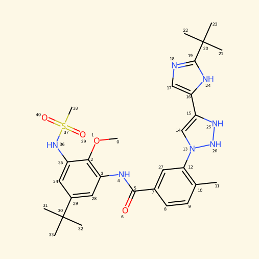 COc1c(NC(=O)c2ccc(C)c(N3C=C(c4cnc(C(C)(C)C)[nH]4)NN3)c2)cc(C(C)(C)C)cc1NS(C)(=O)=O